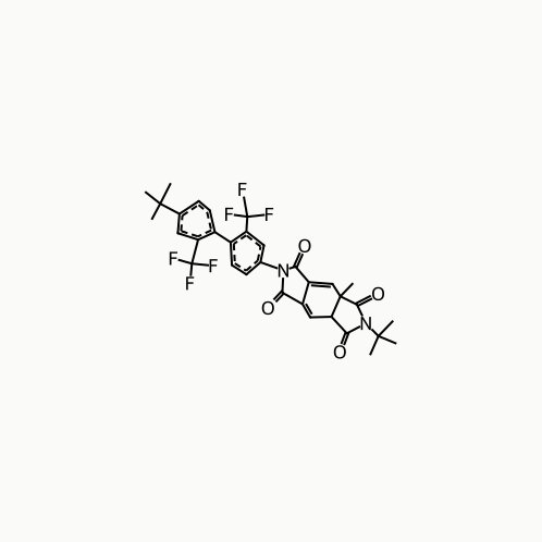 CC(C)(C)c1ccc(-c2ccc(N3C(=O)C4=CC5C(=O)N(C(C)(C)C)C(=O)C5(C)C=C4C3=O)cc2C(F)(F)F)c(C(F)(F)F)c1